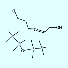 CC(C)(C)[Si](C)(C)O[Si](C)(C)C(C)(C)C.OCC=C=CCCCl